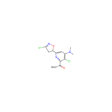 COC(=O)c1nc(C2CC(Cl)=NO2)cc(N(C)C)c1Cl